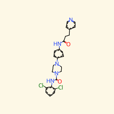 O=C(CCc1ccncc1)Nc1ccc(N2CCN(C(=O)Nc3c(Cl)cccc3Cl)CC2)cc1